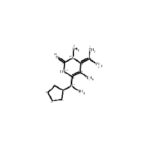 CC(C)=C1C(C)=C(N(N)C2CCCC2)NC(=O)N1C